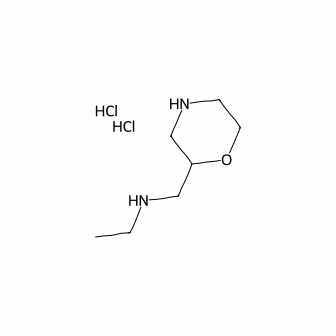 CCNCC1CNCCO1.Cl.Cl